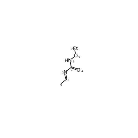 CC=NC(=O)NOCC